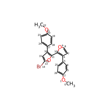 COc1ccc(-c2ccoc2-c2oc(Br)cc2-c2ccc(OC)cc2)cc1